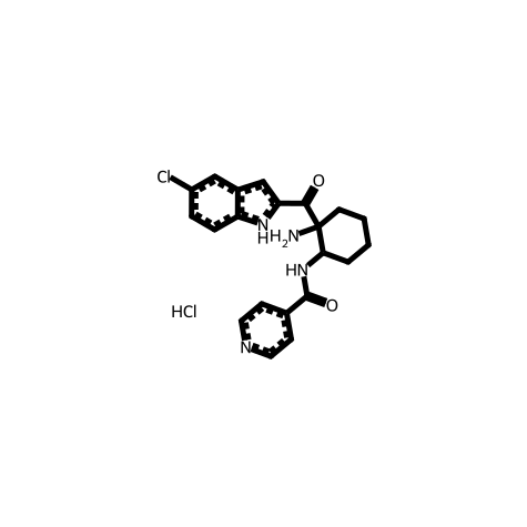 Cl.NC1(C(=O)c2cc3cc(Cl)ccc3[nH]2)CCCCC1NC(=O)c1ccncc1